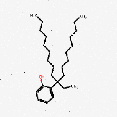 CCCCCCCCCC(CC)(CCCCCCCCC)c1ccccc1O